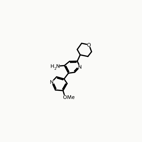 COc1cncc(-c2cnc(C3CCOCC3)cc2N)c1